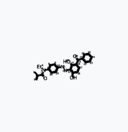 C=C(C)C(=O)N(CC)c1ccc(N=Nc2c(O)ccc(C(=O)c3ccccc3)c2O)cc1